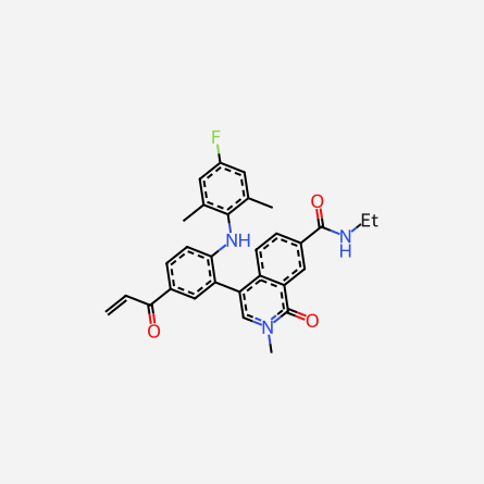 C=CC(=O)c1ccc(Nc2c(C)cc(F)cc2C)c(-c2cn(C)c(=O)c3cc(C(=O)NCC)ccc23)c1